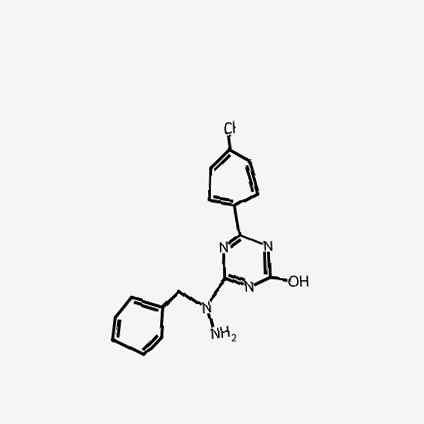 NN(Cc1ccccc1)c1nc(O)nc(-c2ccc(Cl)cc2)n1